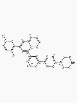 Fc1ccc(Cl)cc1-c1cc(C2=CNCC(c3ccc(N4CCNCC4)nc3)=C2)c2cccnc2n1